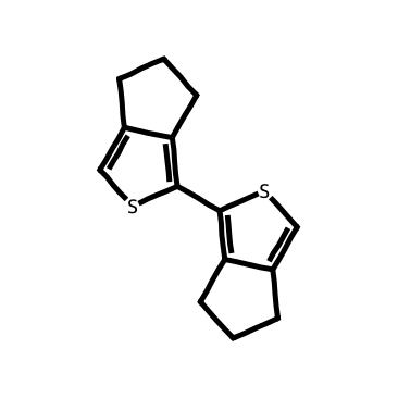 c1sc(-c2scc3c2CCC3)c2c1CCC2